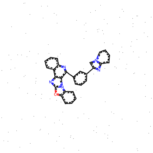 c1cc(-c2cn3ccccc3n2)cc(-c2nc3ccccc3c3nc4oc5ccccc5n4c23)c1